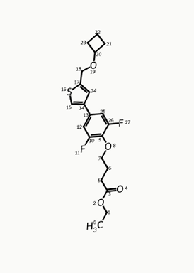 CCOC(=O)CCCOc1c(F)cc(-c2csc(COC3CCC3)c2)cc1F